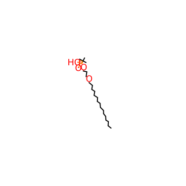 CCCCCCCCCCCCCCCCOCCCOP(=O)(O)C(C)(C)C